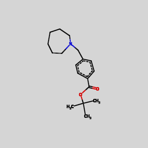 CC(C)(C)OC(=O)c1ccc(CN2CCCCCC2)cc1